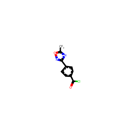 O=C(Cl)c1ccc(-c2noc(C(F)(F)F)n2)cc1